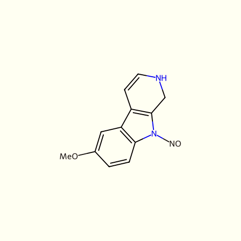 COc1ccc2c(c1)c1c(n2N=O)CNC=C1